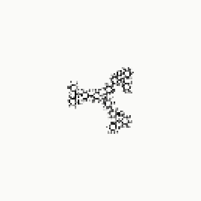 c1ccc(N2c3ccccc3Oc3cc(-c4ccc(N(c5ccc(-c6ccc7c(c6)Oc6ccccc6N7c6ccccc6)cc5)c5ccc(-c6ccc7c(c6)N(c6ccccc6)c6ccccc6O7)cc5)cc4)ccc32)cc1